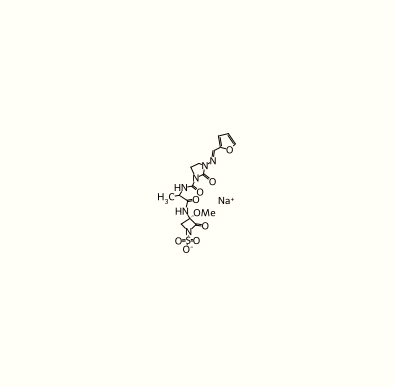 CO[C@@]1(NC(=O)C(C)NC(=O)N2CCN(N=Cc3ccco3)C2=O)CN(S(=O)(=O)[O-])C1=O.[Na+]